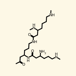 CNCCCCC(CC(=O)NCCCC(CC(C)=O)NC(=O)CC(N)CCCNC)NC